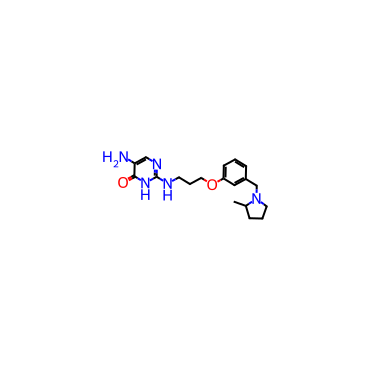 CC1CCCN1Cc1cccc(OCCCNc2ncc(N)c(=O)[nH]2)c1